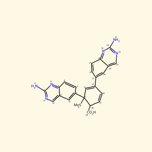 CSC1(c2ccc3nc(N)ncc3c2)C=C(c2ccc3nc(N)ncc3c2)C=CC1C(=O)O